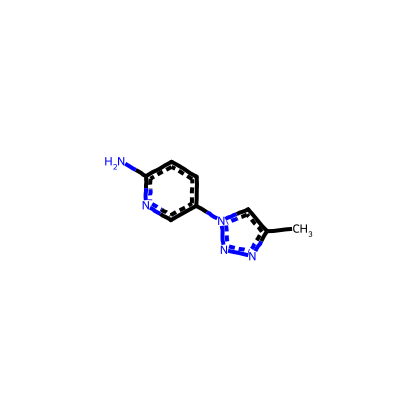 Cc1cn(-c2ccc(N)nc2)nn1